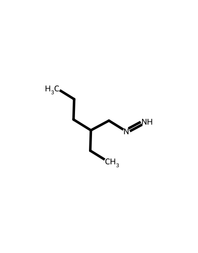 CCCC(CC)CN=N